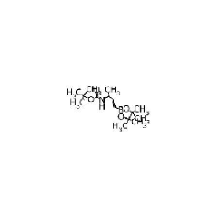 C[C@H](/C=C/B1OC(C)(C)C(C)(C)O1)NC(=O)OC(C)(C)C